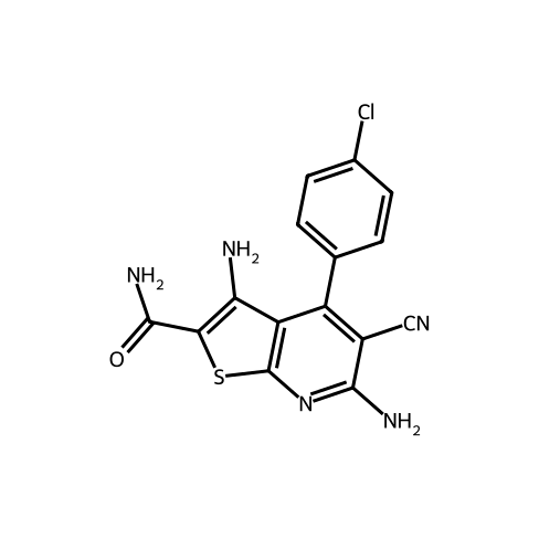 N#Cc1c(N)nc2sc(C(N)=O)c(N)c2c1-c1ccc(Cl)cc1